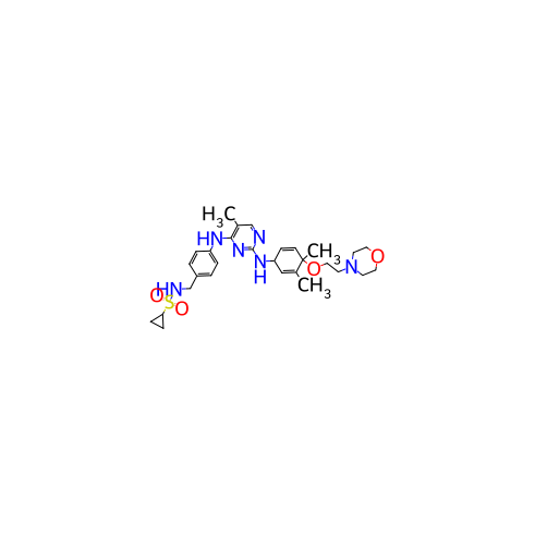 CC1=CC(Nc2ncc(C)c(Nc3ccc(CNS(=O)(=O)C4CC4)cc3)n2)C=CC1(C)OCCN1CCOCC1